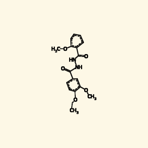 CCOc1ccc(C(=O)NNC(=O)c2ccccc2OC)cc1OC